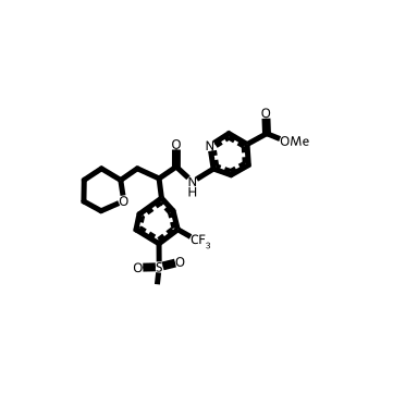 COC(=O)c1ccc(NC(=O)C(CC2CCCCO2)c2ccc(S(C)(=O)=O)c(C(F)(F)F)c2)nc1